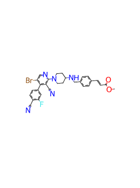 COC(=O)/C=C/c1ccc(CNC2CCN(c3ncc(Br)c(-c4ccc(C#N)c(F)c4)c3C#N)CC2)cc1